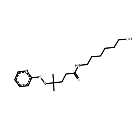 CC(C)(CCC(=O)NCCCCCCO)SSc1ccccn1